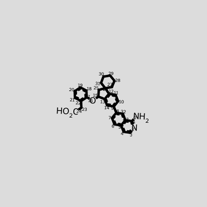 Nc1nccc2ccc(-c3ccc4c(c3)C(Oc3ccccc3CC(=O)O)CC43CCCCC3)cc12